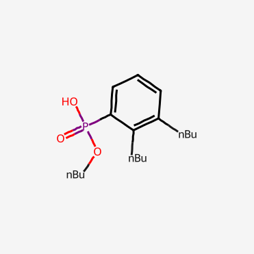 CCCCOP(=O)(O)c1cccc(CCCC)c1CCCC